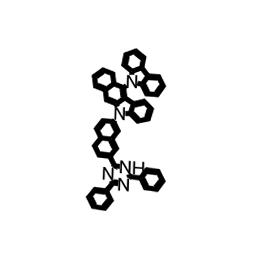 C1=CCC2C(=C1)C=c1c(c3ccccc3n1C1=CC3=CC(C4=NC(c5ccccc5)=NC(c5ccccc5)N4)=CCC3C=C1)=C2N1c2ccccc2C2C=CC=CC21